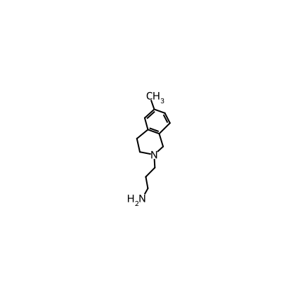 Cc1ccc2c(c1)CCN(CCCN)C2